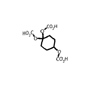 O=C(O)OC1CCC(OC(=O)O)(OC(=O)O)CC1